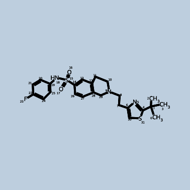 CC(C)(C)c1nc(CCN2CCc3cc(S(=O)(=O)Nc4ccc(F)cc4)ccc3C2)cs1